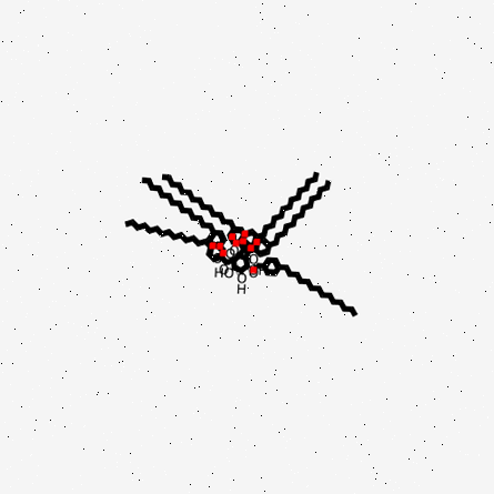 CCCCCCCCCCCCCCc1ccc(C(=O)O[C@@]2(C(=O)c3ccc(CCCCCCCCCCCCCC)cc3)[C@@](OC(=O)c3ccc(CCCCCCCCCCCCCC)cc3)(C(=O)c3ccc(CCCCCCCCCCCCCC)cc3)[C@@H](O)[C@H](O)[C@@H](O)[C@@]2(OC(=O)c2ccc(CCCCCCCCCCCCCC)cc2)C(=O)c2ccc(CCCCCCCCCCCCCC)cc2)cc1